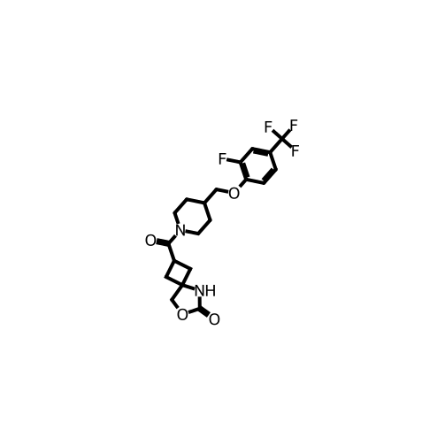 O=C1NC2(CO1)CC(C(=O)N1CCC(COc3ccc(C(F)(F)F)cc3F)CC1)C2